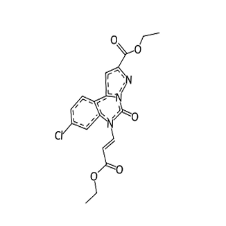 CCOC(=O)C=Cn1c(=O)n2nc(C(=O)OCC)cc2c2ccc(Cl)cc21